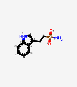 NS(=O)(=O)CCc1c[nH]c2ccccc12